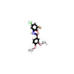 COc1ccc(-c2nc3cc(Cl)cc(Br)c3o2)cc1OC